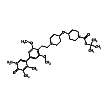 COc1cc(-c2cn(C)c(=O)c(C)c2C)cc(OC)c1CCN1CCC(OC2CCN(C(=O)OC(C)(C)C)CC2)CC1